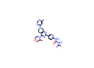 Cc1cc(N2CCc3c(nc(-c4ccc(NC(=O)NC(C)I)nc4)nc3N3CCOCC3C)C2)ncn1